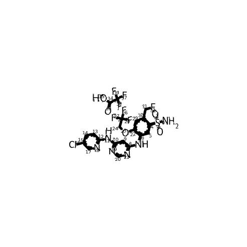 NS(=O)(=O)c1cc(Nc2cc(Nc3ccc(Cl)cn3)ncn2)c(OCC(F)(F)F)cc1CF.O=C(O)C(F)(F)F